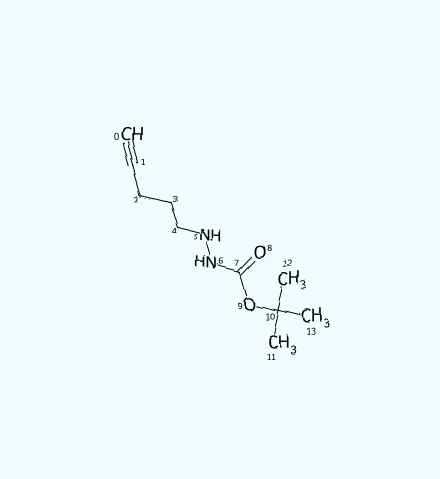 C#CCCCNNC(=O)OC(C)(C)C